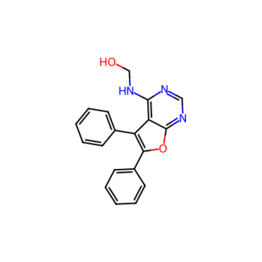 OCNc1ncnc2oc(-c3ccccc3)c(-c3ccccc3)c12